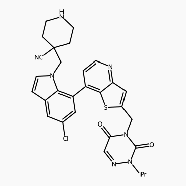 CC(C)n1ncc(=O)n(Cc2cc3nccc(-c4cc(Cl)cc5ccn(CC6(C#N)CCNCC6)c45)c3s2)c1=O